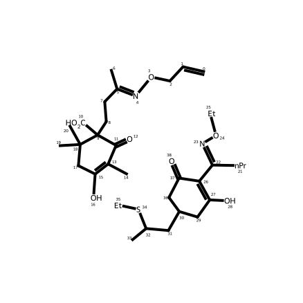 C=CCON=C(C)CCC1(C(=O)O)C(=O)C(C)=C(O)CC1(C)C.CCCC(=NOCC)C1=C(O)CC(CC(C)SCC)CC1=O